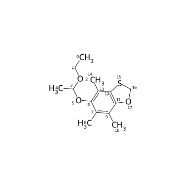 CCOC(C)Oc1c(C)c(C)c2c(c1C)SCO2